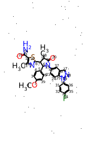 COc1ccc(C2C(c3nc(C)c(C(N)=O)s3)C(C)C(=O)N2c2ccc3c(cnn3-c3ccc(F)cc3)c2)cc1